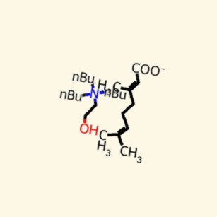 CC(C)=CCC/C(C)=C/C(=O)[O-].CCCC[N+](CCO)(CCCC)CCCC